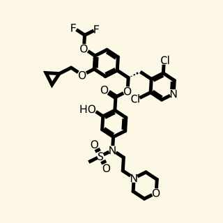 CS(=O)(=O)N(CCN1CCOCC1)c1ccc(C(=O)O[C@@H](Cc2c(Cl)cncc2Cl)c2ccc(OC(F)F)c(OCC3CC3)c2)c(O)c1